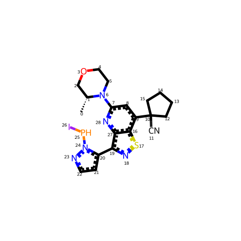 C[C@@H]1COCCN1c1cc(C2(C#N)CCCC2)c2snc(-c3ccnn3PI)c2n1